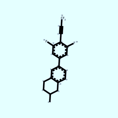 CC1CCc2cc(-c3cc(F)c(C#CC(F)(F)F)c(F)c3)ccc2C1